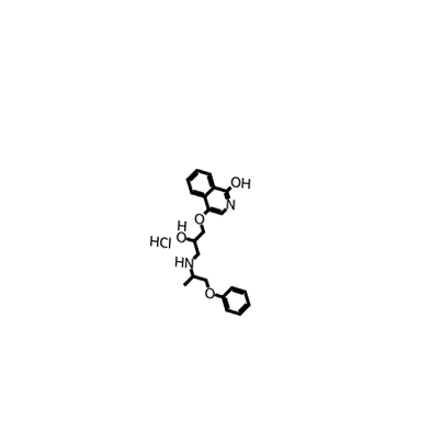 CC(COc1ccccc1)NCC(O)COc1cnc(O)c2ccccc12.Cl